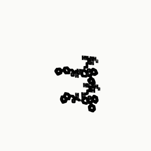 N=C(N)NCCC[C@H]1N[C@@H](CNC(=O)Cc2ccc(-c3ccccc3)cc2)CCN(C(c2ccccc2)c2ccccc2)C1=O.N=C(N)NCCC[C@H]1N[C@@H](CNC(=O)Cc2ccc3ccccc3c2)CCN(C(c2ccccc2)c2ccccc2)C1=O